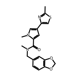 Cc1nc(-c2cc(C(=O)N(C)Cc3ccc4c(c3)OCO4)n(C)c2)cs1